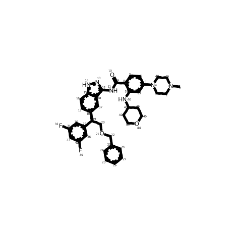 CN1CCN(c2ccc(C(=O)Nc3n[nH]c4ccc(C(COCc5ccccc5)c5cc(F)cc(F)c5)cc34)c(NC3CCOCC3)c2)CC1